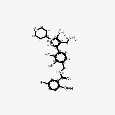 COc1ccc(F)cc1C(=O)NCc1ccc(-c2nn(C3CCOCC3)c(N)c2CN)c(F)c1F